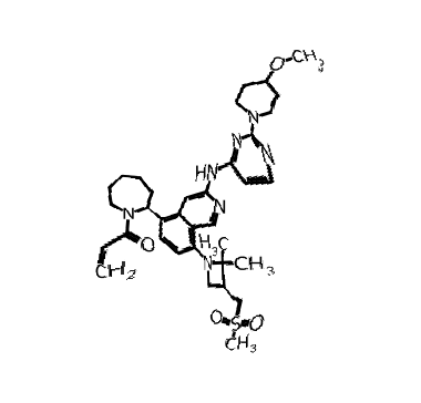 C=CC(=O)N1CCCCC[C@H]1c1ccc(N2C[C@H](CS(C)(=O)=O)C2(C)C)c2cnc(Nc3ccnc(N4CCC(OC)CC4)n3)cc12